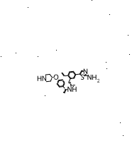 C=Cc1ccc(-c2cnc(N)s2)cc1/C=C(\C)NC(=C)c1ccc(OC2CCNCC2)cc1